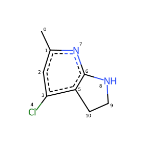 Cc1cc(Cl)c2c(n1)NCC2